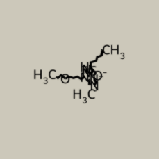 CC=CCCCc1nnc([N+]2([O-])CN(CC)CC2NCCCCOCCC)s1